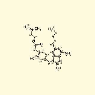 CCCCOc1nc(N)c2nc(O)n(Cc3ccc(CC(=O)OCCN(C)C)cc3)c2n1.Cl